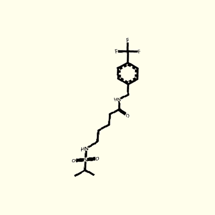 CC(C)S(=O)(=O)NCCCCC(=O)NCc1ccc(C(F)(F)F)cc1